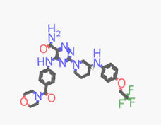 NC(=O)c1nnc(N2CCC[C@@H](Nc3ccc(OCC(F)(F)F)cc3)C2)nc1Nc1ccc(C(=O)N2CCOCC2)cc1